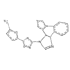 Cc1ccc(-c2nc(N3C=NC4c5ccccc5-n5cncc5N43)no2)o1